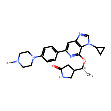 CC(=O)N1CCN(c2ccc(-c3cc4ncn(C5CC5)c4c(O[C@H](C)C4CNC(=O)C4)n3)cc2)CC1